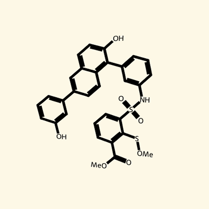 COSc1c(C(=O)OC)cccc1S(=O)(=O)Nc1cccc(-c2c(O)ccc3cc(-c4cccc(O)c4)ccc23)c1